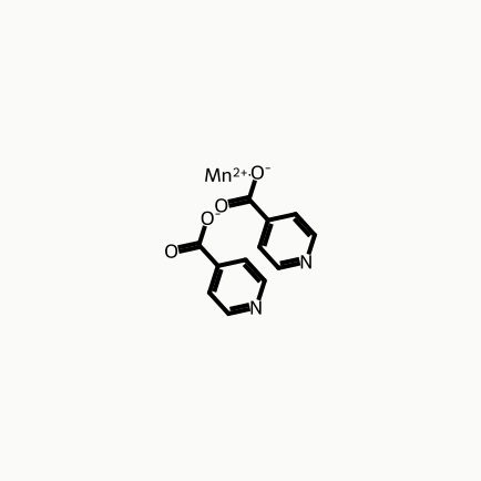 O=C([O-])c1ccncc1.O=C([O-])c1ccncc1.[Mn+2]